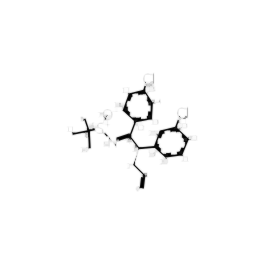 C=CC[C@@H](/C(=N/[S@+]([O-])C(C)(C)C)c1ccc(Cl)cc1)c1cccc(Cl)c1